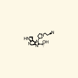 C[C@@H](O)c1nc2cnc3[nH]ccc3c2n1C1CCN(CCC#N)C1